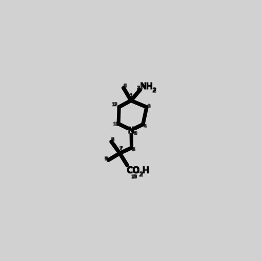 CC1(N)CCN(CC(C)(C)C(=O)O)CC1